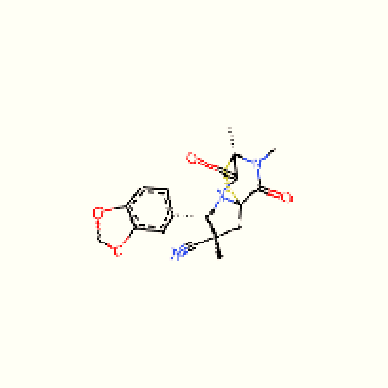 CN1C(=O)C23C[C@](C)(C#N)[C@H](c4ccc5c(c4)OCO5)N2C(=O)[C@@]1(C)SS3